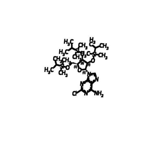 CC(C)[Si](C)(C)OC[C@H]1O[C@@H](n2cnc3c(N)nc(Cl)nc32)[C@H](O[Si](C)(C)C(C)C)[C@@H]1O[Si](C)(C)C(C)C